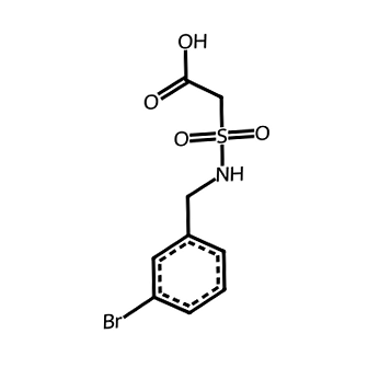 O=C(O)CS(=O)(=O)NCc1cccc(Br)c1